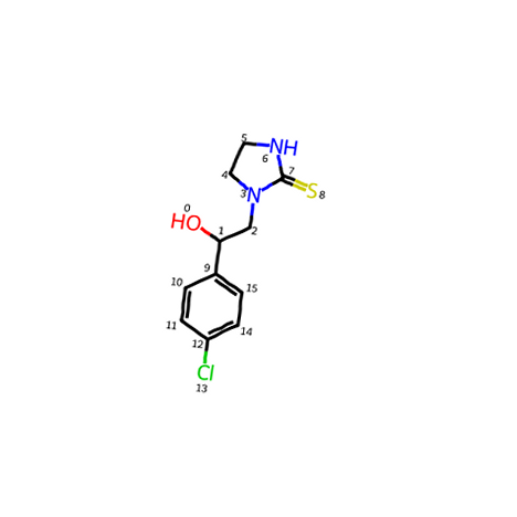 OC(CN1CCNC1=S)c1ccc(Cl)cc1